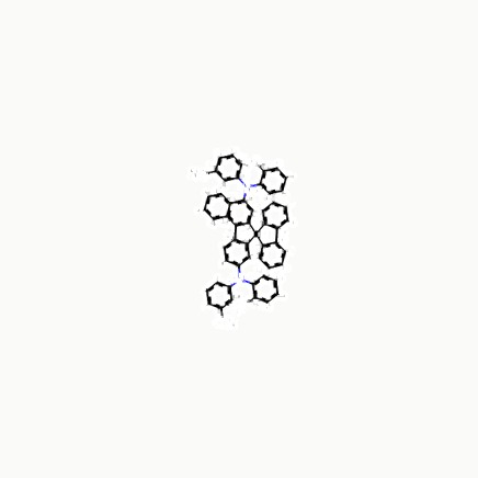 N#Cc1cccc(N(c2ccc3c(c2)C2(c4ccccc4-c4ccccc42)c2cc(N(c4cccc(C#N)c4)c4ccccc4C(F)(F)F)c4ccccc4c2-3)c2ccccc2C(F)(F)F)c1